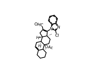 CC(=O)OC12CC[C@]3(C)C(n4c(Cl)nc5ccccc54)=C(C=O)C[C@H]3[C@@H]1CC=C1CCCC[C@@]12C